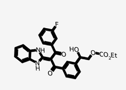 CCOC(=O)OCC(O)c1cccc(C(=O)C(C(=O)c2cccc(F)c2)=C2Nc3ccccc3N2)c1